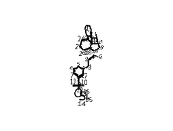 CC(=CCc1cccc(C(C)(C)O[Si](C)(C)C)c1)[C@H]1CC[C@H]2C(=O)CCC[C@]12C